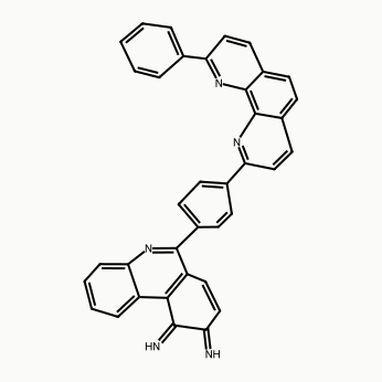 N=C1C=Cc2c(-c3ccc(-c4ccc5ccc6ccc(-c7ccccc7)nc6c5n4)cc3)nc3ccccc3c2C1=N